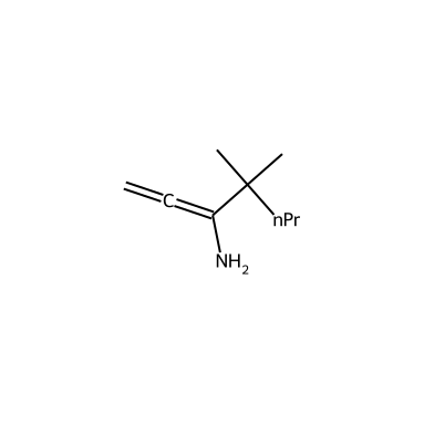 C=C=C(N)C(C)(C)CCC